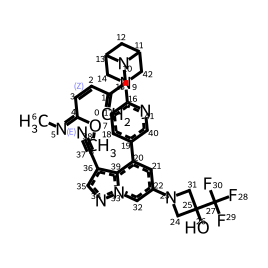 C=C(/C=C\C(=N/C)OC)CN1C2CC1CN(c1ccc(-c3cc(N4CC(O)(C(F)(F)F)C4)cn4ncc(C#N)c34)cn1)C2